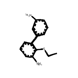 CCSc1c(N)cccc1-c1cccc(N)c1